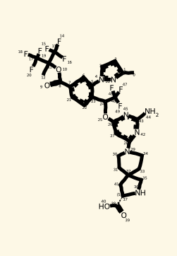 Cc1ccn(-c2cc(C(=O)OC(C)(C(F)(F)F)C(F)(F)F)ccc2C(Oc2cc(N3CCC4(CC3)CN[C@H](C(=O)O)C4)nc(N)n2)C(F)(F)F)n1